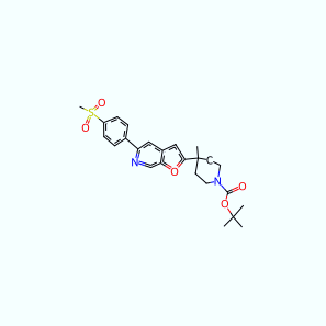 CC(C)(C)OC(=O)N1CCC(C)(c2cc3cc(-c4ccc(S(C)(=O)=O)cc4)ncc3o2)CC1